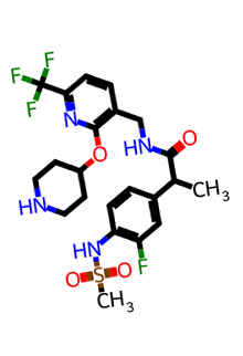 CC(C(=O)NCc1ccc(C(F)(F)F)nc1OC1CCNCC1)c1ccc(NS(C)(=O)=O)c(F)c1